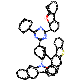 c1ccc(-c2nc(-c3ccc(-n4c5ccccc5c5cc6ccccc6cc54)c(-c4c5ccccc5cc5sc6ccccc6c45)c3)nc(-c3cccc4c3oc3ccccc34)n2)cc1